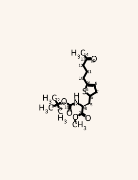 COC(=O)[C@H](CC1CC=C(CCCC(C)=O)S1)NC(=O)OC(C)(C)C